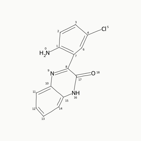 Nc1ccc(Cl)cc1-c1nc2ccccc2[nH]c1=O